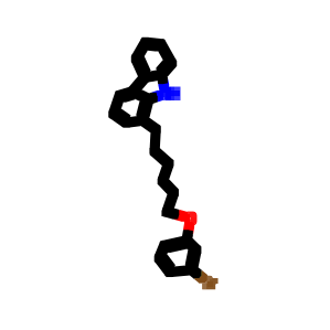 Brc1cccc(OCCCCCCc2cccc3c2[nH]c2ccccc23)c1